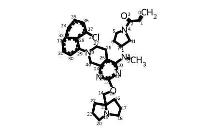 C=CC(=O)N1CC[C@@H](N(C)c2nc(OCC34CCCN3CCC4)nc3c2CCN(c2cccc4cccc(Cl)c24)C3)C1